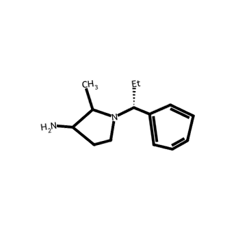 CC[C@H](c1ccccc1)N1CCC(N)C1C